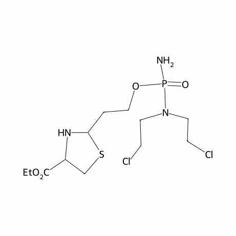 CCOC(=O)C1CSC(CCOP(N)(=O)N(CCCl)CCCl)N1